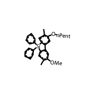 CCCCCOc1cc2c(cc1C)[Si](c1ccccc1)(c1ccccc1)c1cc(C)c(OC)cc1-2